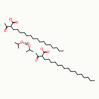 CC(C)[O][Ti+2][O]C(C)C.CCCCCCCCCCCCCCCCC(C(C)=O)C(=O)[O-].CCCCCCCCCCCCCCCCC(C(C)=O)C(=O)[O-]